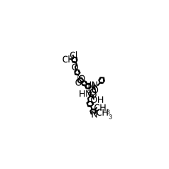 Cc1nccc(-c2ccc(CC(NC(=O)[C@@H]3Cc4cc5c(cc4CN3C(=O)NCc3ccccc3)O[C@@H](c3ccc(OCc4ccc(Cl)c(Cl)c4)cc3)CO5)C(=O)O)cc2)c1C